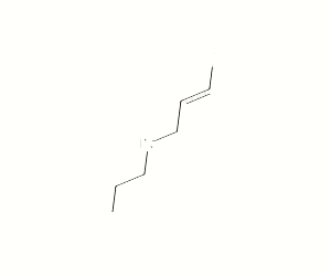 CCCCCCNCC=CCl